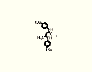 CC(CC(C)Pc1ccc(C(C)(C)C)cc1)Pc1ccc(C(C)(C)C)cc1